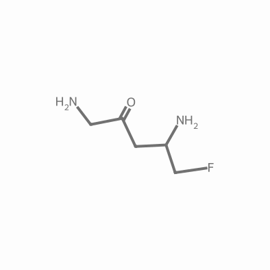 NCC(=O)CC(N)CF